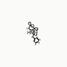 CC[C@]1(NC(=O)Cc2ccccc2)CCC(=O)OC1=O